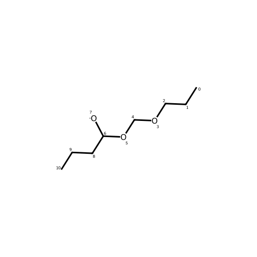 CCCOCOC([O])CCC